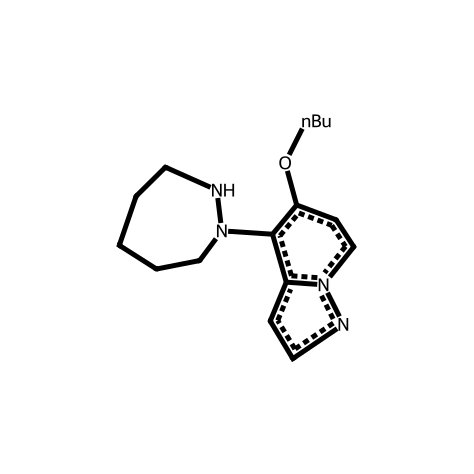 CCCCOc1ccn2nccc2c1N1CCCCCN1